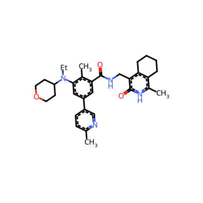 CCN(c1cc(-c2ccc(C)nc2)cc(C(=O)NCc2c3c(c(C)[nH]c2=O)CCCC3)c1C)C1CCOCC1